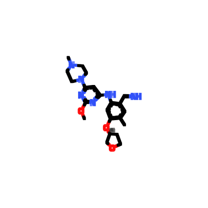 COc1nc(Nc2cc(O[C@H]3CCOC3)c(C)cc2C=N)cc(N2CCN(C)CC2)n1